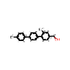 CCc1ccc(-c2ccc(-c3ccc(CO)cc3CC)cc2)cc1